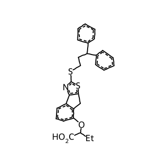 CCC(Oc1cccc2c1Cc1sc(SCCC(c3ccccc3)c3ccccc3)nc1-2)C(=O)O